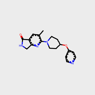 Cc1cc2c(nc1N1CCC(Oc3ccncc3)CC1)CNC2=O